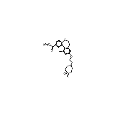 COC(=O)c1ccc2c(c1)-c1c(C)cc(OCCN3CCS(=O)(=O)CC3)cc1CCO2